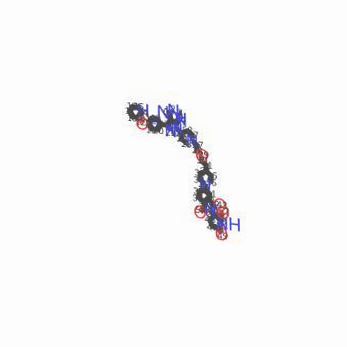 Nc1ncnc2c1c(-c1ccc(Oc3ccccc3)cc1)nn2C1CCN(CCOCCC2CCN(c3ccc4c(c3)C(=O)N(C3CCC(=O)NC3=O)C4=O)CC2)CC1